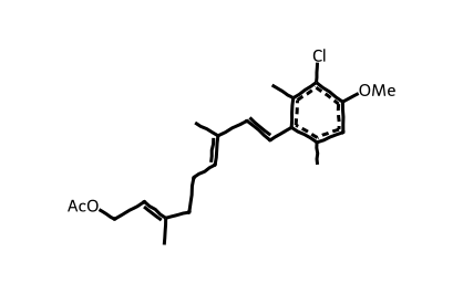 COc1cc(C)c(C=CC(C)=CCCC(C)=CCOC(C)=O)c(C)c1Cl